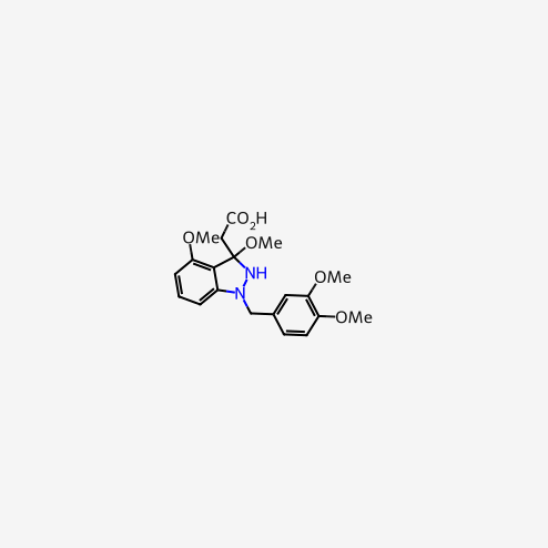 COc1ccc(CN2NC(CC(=O)O)(OC)c3c(OC)cccc32)cc1OC